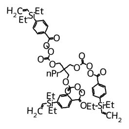 C=C[Si](CC)(CC)c1ccc(C(=O)OOC(=O)OCC(CCC)(COC(=O)OOC(=O)c2ccc([Si](C=C)(CC)CC)cc2)COC(=O)OOC(=O)c2ccc([Si](C=C)(CC)CC)cc2)cc1